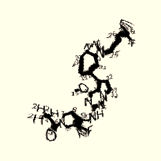 [2H]C([2H])([2H])C(=O)N1CC[C@@H](Nc2nc(OC)c3c(-c4ccc5nnn(CCC(F)F)c5c4)ccn3n2)C(F)(F)C1